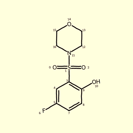 O=S(=O)(c1cc(F)ccc1O)N1CCOCC1